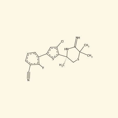 CC1(C)SC[C@@](C)(c2sc(-c3cccc(C#N)c3F)cc2Cl)NC1=N